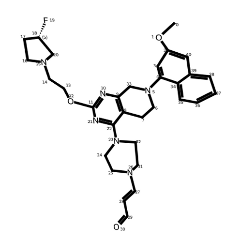 COc1cc(N2CCc3c(nc(OCCN4CC[C@H](F)C4)nc3N3CCN(C=CC=O)CC3)C2)c2ccccc2c1